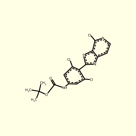 CC(C)(C)OC(=O)Nc1cc(Cl)c(-c2nc3ccnc(Cl)c3s2)c(Cl)c1